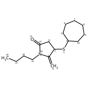 C=C1C(SC2CCCCCC2)CC(=O)N1CCCC